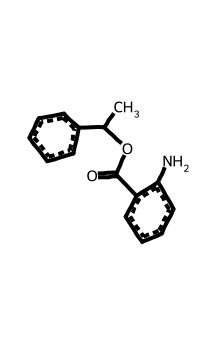 CC(OC(=O)c1ccccc1N)c1ccccc1